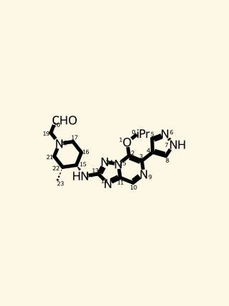 CC(C)Oc1c(-c2cn[nH]c2)ncc2nc(N[C@H]3CCN(CC=O)C[C@H]3C)nn12